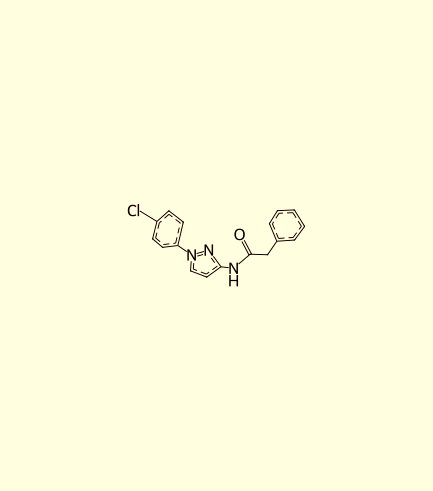 O=C(Cc1ccccc1)Nc1ccn(-c2ccc(Cl)cc2)n1